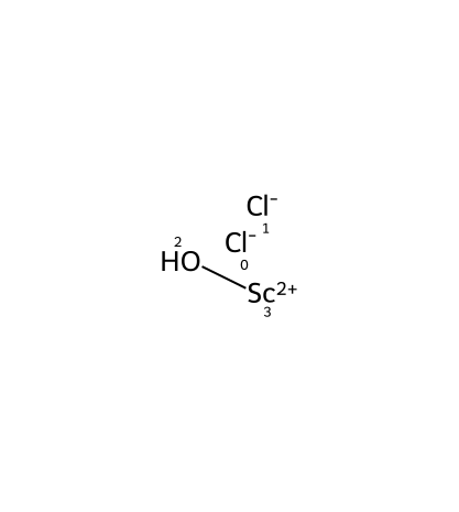 [Cl-].[Cl-].[OH][Sc+2]